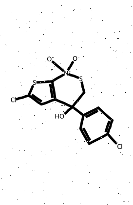 [O-][N+]1([O-])SCC(O)(c2ccc(Cl)cc2)c2cc(Cl)sc21